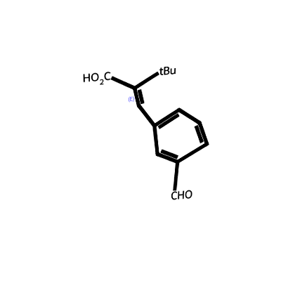 CC(C)(C)/C(=C\c1cccc(C=O)c1)C(=O)O